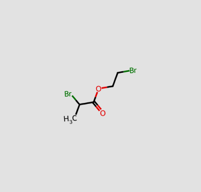 CC(Br)C(=O)OCCBr